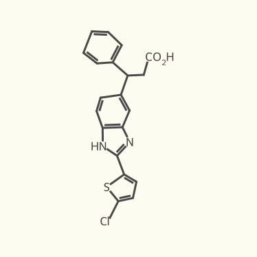 O=C(O)CC(c1ccccc1)c1ccc2[nH]c(-c3ccc(Cl)s3)nc2c1